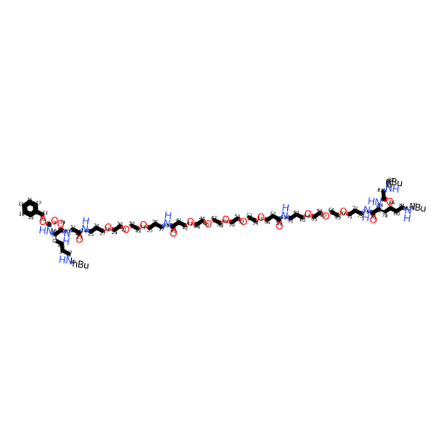 CCCCNCCCC[C@H](NC(=O)OCc1ccccc1)C(=O)NCC(=O)NCCCOCCOCCOCCCNC(=O)CCOCCOCCOCCOCCOCCC(=O)NCCCOCCOCCOCCCNC(=O)[C@H](CCCCNC(C)CC)NC(=O)CNCCCC